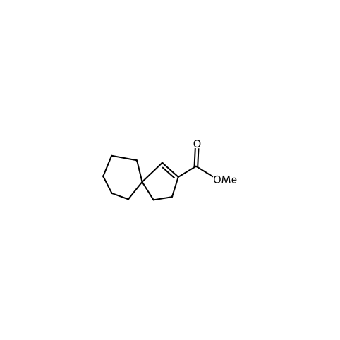 COC(=O)C1=CC2(CCCCC2)CC1